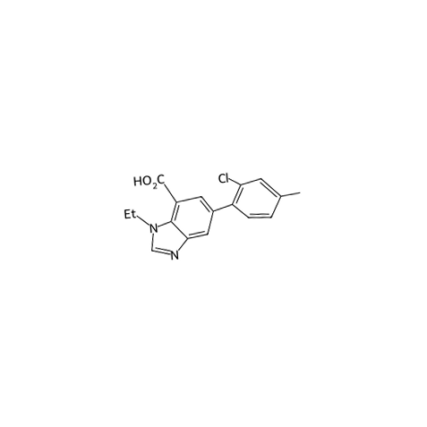 CCn1cnc2cc(-c3ccc(C)cc3Cl)cc(C(=O)O)c21